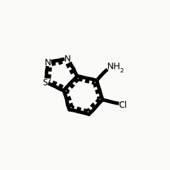 Nc1c(Cl)ccc2snnc12